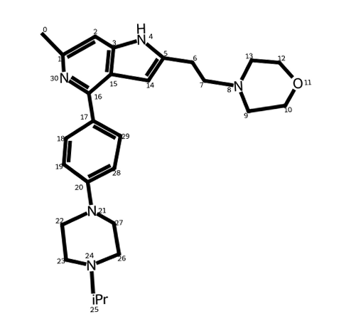 Cc1cc2[nH]c(CCN3CCOCC3)cc2c(-c2ccc(N3CCN(C(C)C)CC3)cc2)n1